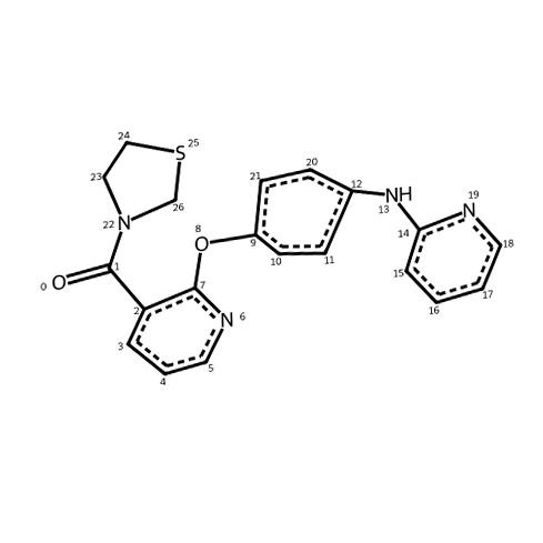 O=C(c1cccnc1Oc1ccc(Nc2ccccn2)cc1)N1CCSC1